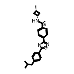 CC(C)Cc1ccc(-c2nc(-c3ccc([C@H](C)N[C@H]4C[C@H](C)C4)cc3)no2)cc1